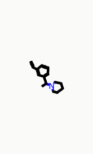 C=Cc1cccc(C(C)N2CCCCC2)c1